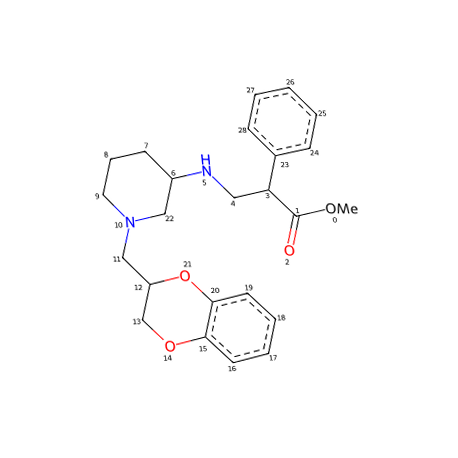 COC(=O)C(CNC1CCCN(CC2COc3ccccc3O2)C1)c1ccccc1